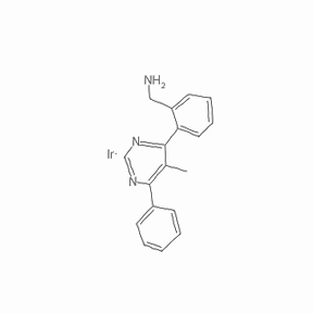 Cc1c(-c2ccccc2)ncnc1-c1ccccc1CN.[Ir]